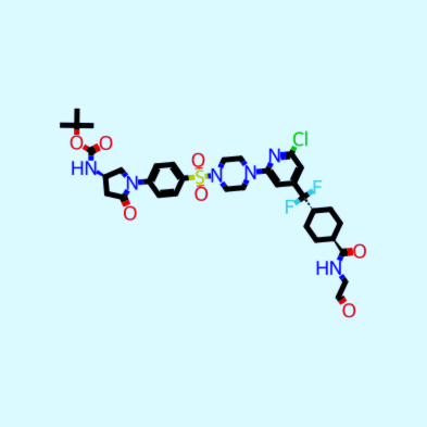 CC(C)(C)OC(=O)N[C@@H]1CC(=O)N(c2ccc(S(=O)(=O)N3CCN(c4cc(C(F)(F)[C@H]5CC[C@H](C(=O)NCC=O)CC5)cc(Cl)n4)CC3)cc2)C1